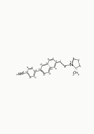 C[C@H]1CCCN1CCc1ccc2cc(-c3ccc(C#N)cc3)ccc2c1